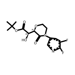 CC(C)(C)OC(=O)[C@H](O)[C@H]1OCCN(c2cnc(F)c(F)c2)C1=O